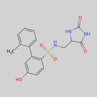 Cc1ccccc1-c1cc(O)ccc1S(=O)(=O)NCC1NC(=O)NC1=O